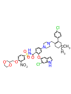 CC1(C)CCC(CN2CCN(c3ccc(C(=O)NS(=O)(=O)c4ccc(OCC5COCCO5)c([N+](=O)[O-])c4)c(Oc4cc5cc[nH]c5cc4Cl)c3)CC2)=C(c2ccc(Cl)cc2)C1